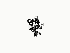 C=CC(=O)Nc1cc(Nc2ncc(Cl)c(-c3cn4c5c(cccc35)CCC4)n2)c(OC)cc1OC(COCC)CN(C)C